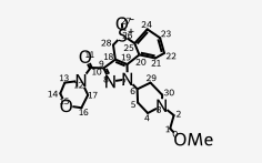 COCCN1CCC(n2nc(C(=O)N3CCOCC3)c3c2-c2ccccc2[S+]([O-])C3)CC1